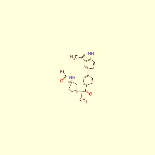 CCC(=O)N[C@H]1CC[C@@H](C(C)C(=O)c2ccc(-c3ccc4[nH]cc(C)c4c3)cc2)C1